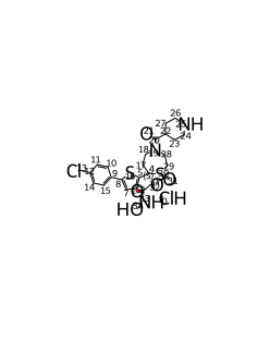 Cl.O=C(C[C@]1(c2ccc(-c3ccc(Cl)cc3)s2)CCN(C(=O)C2CCNCC2)CCS1(=O)=O)NO